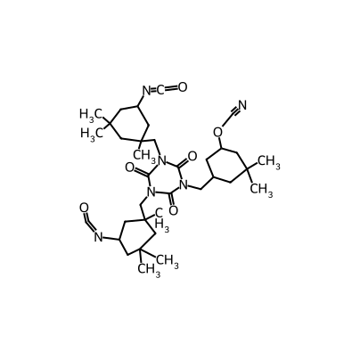 CC1(C)CC(Cn2c(=O)n(CC3(C)CC(N=C=O)CC(C)(C)C3)c(=O)n(CC3(C)CC(N=C=O)CC(C)(C)C3)c2=O)CC(OC#N)C1